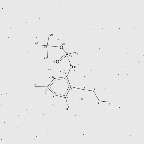 CCCC(C)(C)c1c(C)cc(C)cc1OP(C)(=O)OC(C)(C)C